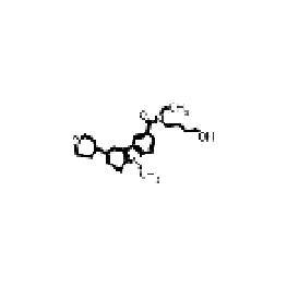 CCN(CCCCO)C(=O)c1ccc2c(c1)c1c(n2C)CCC(C2CCOCC2)C1